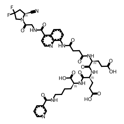 N#C[C@@H]1CC(F)(F)CN1C(=O)CNC(=O)c1ccnc2c(NC(=O)CCC(=O)N[C@@H](CCC(=O)O)C(=O)N[C@@H](CCC(=O)O)C(=O)N[C@@H](CCCCNC(=O)c3cccnc3)C(=O)O)cccc12